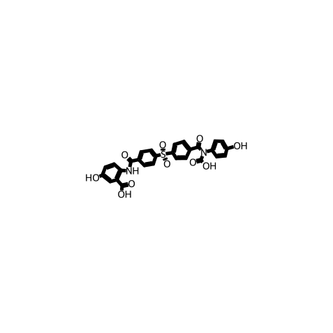 O=C(Nc1ccc(O)cc1C(=O)O)c1ccc(S(=O)(=O)c2ccc(C(=O)N(C(=O)O)c3ccc(O)cc3)cc2)cc1